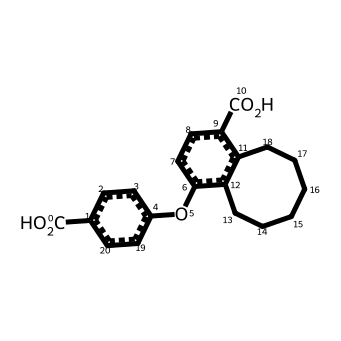 O=C(O)c1ccc(Oc2ccc(C(=O)O)c3c2CCCCCC3)cc1